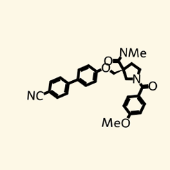 CNC(=O)[C@]1(COc2ccc(-c3ccc(C#N)cc3)cc2)CCN(C(=O)c2ccc(OC)cc2)C1